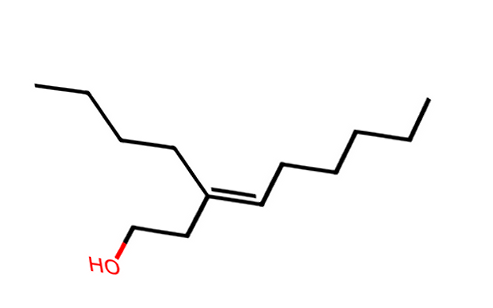 CCCCC/C=C(/CCO)CCCC